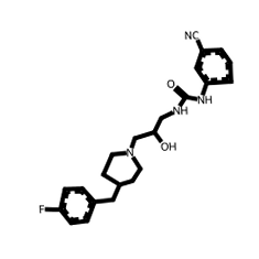 N#Cc1cccc(NC(=O)NCC(O)CN2CCC(Cc3ccc(F)cc3)CC2)c1